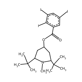 CN1C(C(C)(C)C)CC(OC(=O)c2cc(I)cc(I)c2I)CC1C(C)(C)C